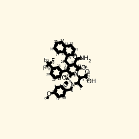 COc1ccc(CN2C(C)C(C(=O)O)n3c(c(-c4cccc(C(F)(F)F)c4)c(Cc4cccc5ccccc45)c(C(N)=O)c3=O)S2(=O)=O)cc1